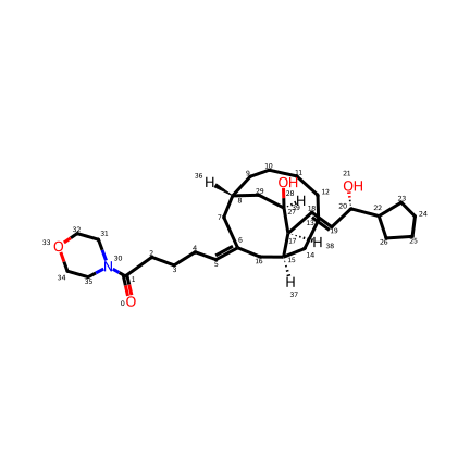 O=C(CCCC=C1C[C@@H]2CCCCCC[C@@H](C1)[C@H](/C=C/[C@H](O)C1CCCC1)[C@H](O)C2)N1CCOCC1